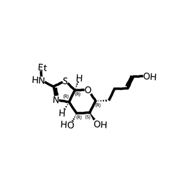 CCNC1=N[C@@H]2[C@@H](O)[C@H](O)[C@@H](CCC=CO)O[C@@H]2S1